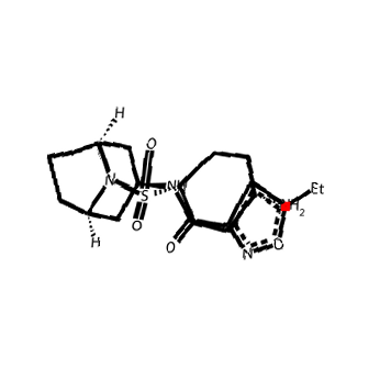 CCc1cc(C(=O)N[C@H]2C[C@H]3CC[C@@H](C2)N3S(=O)(=O)[C@H]2CC[C@@H](N)CC2)no1